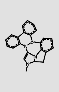 CN1C=C2N3B(c4ccccc4-c4ccccc43)c3cccc4c3N2C1C4